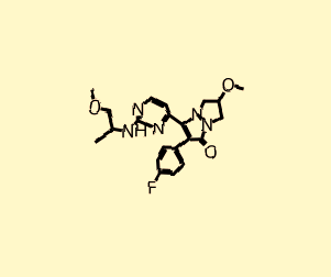 COCC(C)Nc1nccc(-c2c(-c3ccc(F)cc3)c(=O)n3n2CC(OC)C3)n1